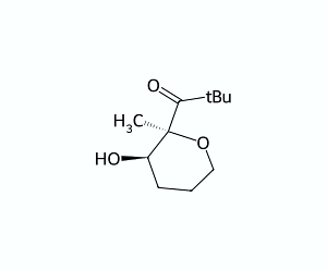 CC(C)(C)C(=O)[C@@]1(C)OCCC[C@H]1O